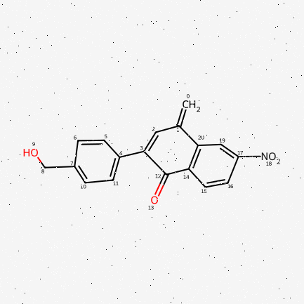 C=C1C=C(c2ccc(CO)cc2)C(=O)c2ccc([N+](=O)[O-])cc21